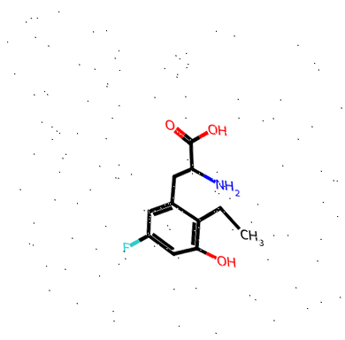 CCc1c(O)cc(F)cc1CC(N)C(=O)O